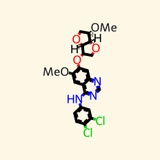 COc1cc2c(Nc3ccc(Cl)c(Cl)c3)ncnc2cc1OC1CO[C@@H]2[C@@H](OC)CO[C@H]12